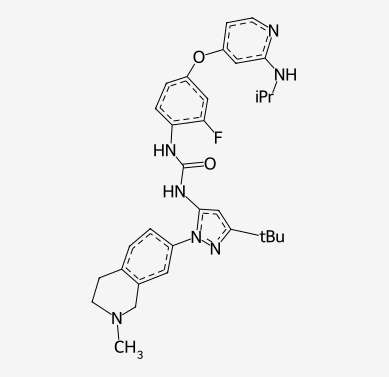 CC(C)Nc1cc(Oc2ccc(NC(=O)Nc3cc(C(C)(C)C)nn3-c3ccc4c(c3)CN(C)CC4)c(F)c2)ccn1